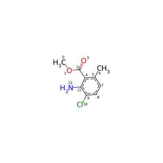 COC(=O)c1c(C)ccc(Cl)c1N